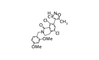 COc1ccc(CN2CCc3c(Cl)cc(-c4c(C)noc4C)c(Cl)c3C2=O)c(OC)c1